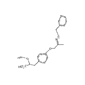 CCCOC(Cc1ccc(OCC(C)=NOCc2ccccc2)cc1)C(=O)O